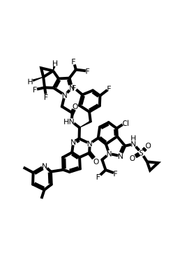 Cc1cc(C)nc(-c2ccc3c(=O)n(-c4ccc(Cl)c5c(NS(=O)(=O)C6CC6)nn(CC(F)F)c45)c([C@H](Cc4cc(F)cc(F)c4)NC(=O)Cn4nc(C(F)F)c5c4C(F)(F)[C@@H]4C[C@H]54)nc3c2)c1